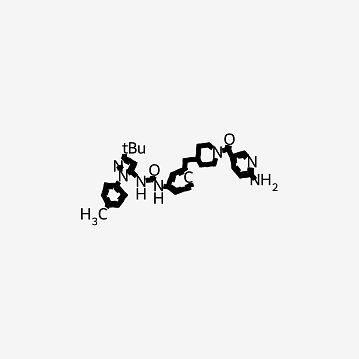 Cc1ccc(-n2nc(C(C)(C)C)cc2NC(=O)Nc2cccc(CC3CCN(C(=O)c4ccc(N)nc4)CC3)c2)cc1